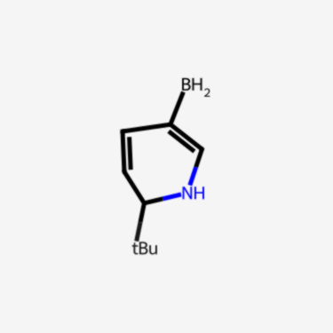 BC1=CNC(C(C)(C)C)C=C1